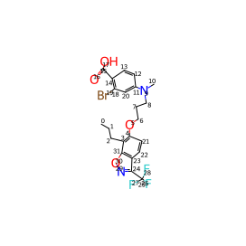 CCCc1c(OCCCN(C)c2ccc(C(=O)O)c(Br)c2)ccc2c(C(F)(F)F)noc12